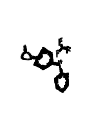 COc1ccc([I+]c2ccccc2)cc1.FC(F)F